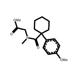 COC(=O)CN(C)C(=O)C1(c2ccc(OC)cc2)CCCCC1